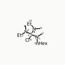 CCCCCCN(C)S(Cl)(N(C)CC)N(C)CC